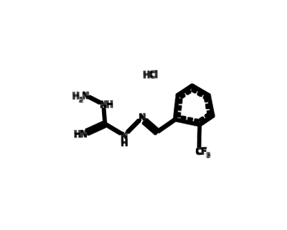 Cl.N=C(NN)NN=Cc1ccccc1C(F)(F)F